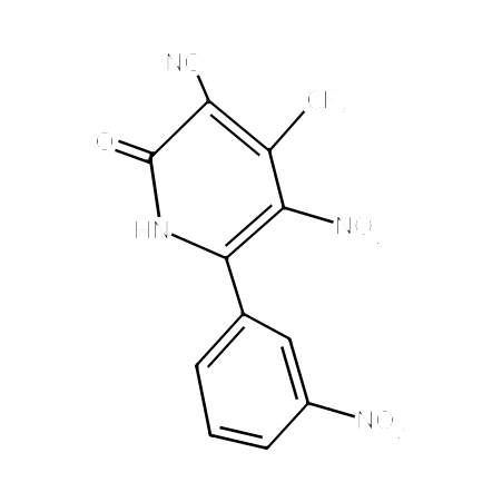 N#Cc1c(C(F)(F)F)c([N+](=O)[O-])c(-c2cccc([N+](=O)[O-])c2)[nH]c1=O